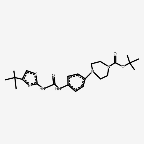 CC(C)(C)OC(=O)N1CCN(c2ccc(NC(=O)Nc3nc(C(C)(C)C)cs3)cc2)CC1